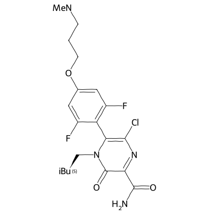 CC[C@H](C)Cn1c(-c2c(F)cc(OCCCNC)cc2F)c(Cl)nc(C(N)=O)c1=O